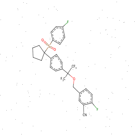 N#Cc1cc(COC(c2ccc(C3(S(=O)(=O)c4ccc(F)cc4)CCCC3)cc2)(C(F)(F)F)C(F)(F)F)ccc1F